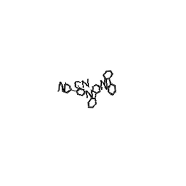 N#Cc1cc(-n2c3ccccc3c3cc(-n4c5ccccc5c5ccccc54)ccc32)ccc1-c1ccncc1